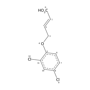 O=C(O)C=CCOc1ccc(Cl)cc1Cl